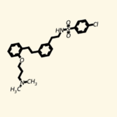 CN(C)CCCOc1ccccc1CCc1cccc(CCNS(=O)(=O)c2ccc(Cl)cc2)c1